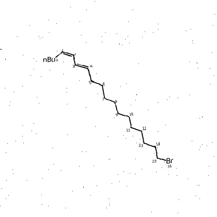 CCCC/C=C\C=C\CCCCCCCCCCCBr